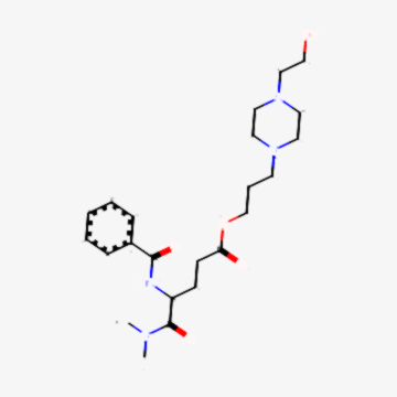 CCCN(CCC)C(=O)C(CCC(=O)OCCCN1CCN(CCO)CC1)NC(=O)c1ccccc1